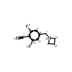 N#Cc1c(F)cc(CN2CCC2)cc1F